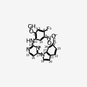 COc1cc(F)c([N+](=O)[O-])cc1Nc1nccc(-n2ccc3ccc(F)cc32)n1